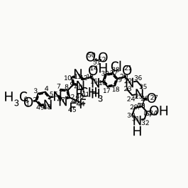 COc1ccc(-n2cc(-c3cnc(C(=O)Nc4ccc(C(=O)N5CCN(C(=O)[C@@H]6CCNC[C@H]6O)CC5)c(Cl)c4)n3C)c(C(F)(F)F)n2)nc1.O=CO